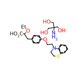 CCOC(Cc1ccc(OCCN2CCSc3ccccc32)cc1)C(=O)O.NC(CO)(CO)CO